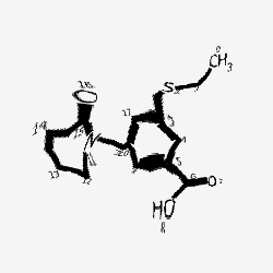 CCSc1cc(C(=O)O)cc(N2CCCC2=O)c1